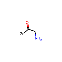 NC[C](=O)[Zn]